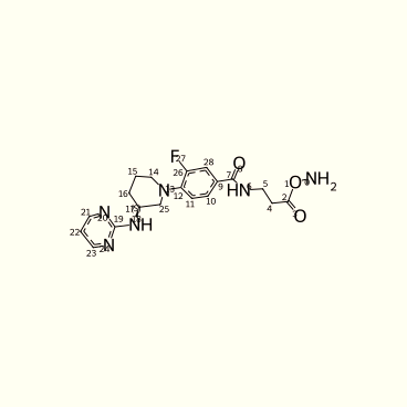 NOC(=O)CCNC(=O)c1ccc(N2CCC[C@H](Nc3ncccn3)C2)c(F)c1